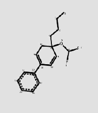 CCCCC1(OC(F)F)C=CC(c2ccccc2)=CC1